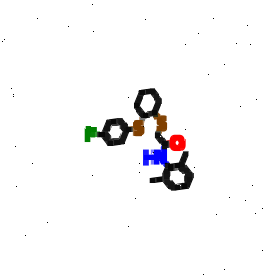 Cc1cccc(C)c1NC(=O)CS[C@@H]1CCCC[C@H]1Sc1ccc(F)cc1